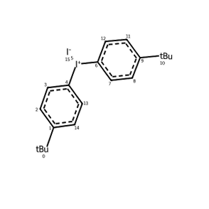 CC(C)(C)c1ccc([I+]c2ccc(C(C)(C)C)cc2)cc1.[I-]